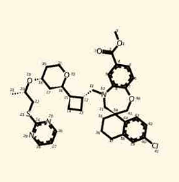 COC(=O)c1ccc2c(c1)N(C[C@@H]1CC[C@H]1[C@H]1C[C@H](O[C@@H](C)CSc3ncccn3)CCO1)C[C@@]1(CCCc3cc(Cl)ccc31)CO2